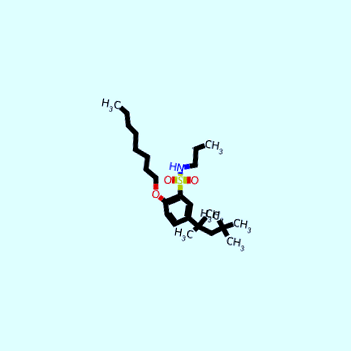 C[CH]CNS(=O)(=O)c1cc(C(C)(C)CC(C)(C)C)ccc1OCCCCCCCC